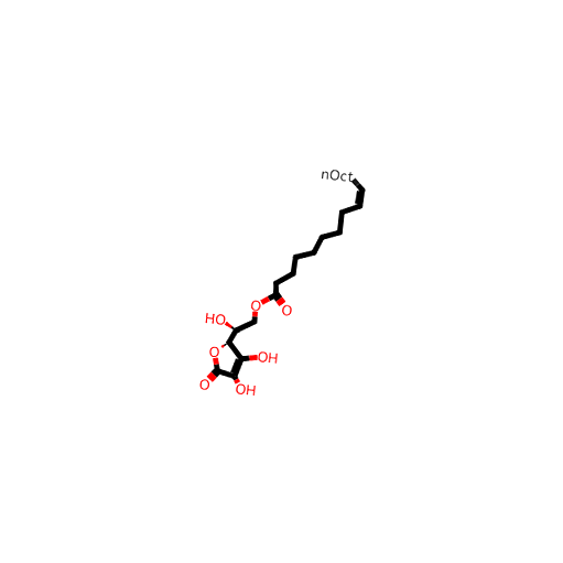 CCCCCCCC/C=C\CCCCCCCC(=O)OC[C@H](O)[C@H]1OC(=O)C(O)=C1O